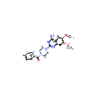 COc1cc2nc(N3CCN(C(=O)C4CC5C=CC4C5)CC3)nc(N)c2cc1OC